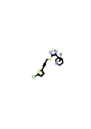 Clc1ccc(C#CCSc2nsnc2[C@@H]2CN3CCC2CC3)s1